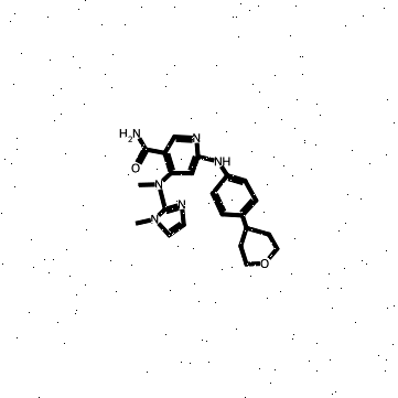 CN(c1cc(Nc2ccc(C3CCOCC3)cc2)ncc1C(N)=O)c1nccn1C